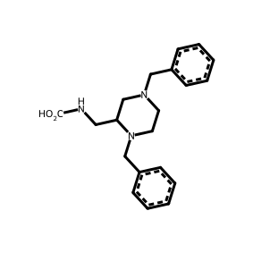 O=C(O)NCC1CN(Cc2ccccc2)CCN1Cc1ccccc1